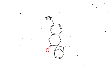 CCCc1ccc2c(c1)CC(=O)C1(C2)CC2C=CC1C2